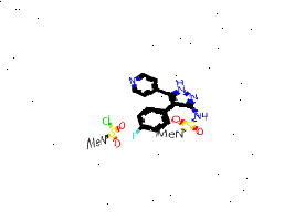 CNS(=O)(=O)Cl.CNS(=O)(=O)Nc1n[nH]c(-c2ccncc2)c1-c1ccc(F)cc1